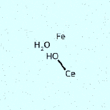 O.[Fe].[OH][Ce]